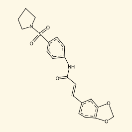 O=C(C=Cc1ccc2c(c1)OCO2)Nc1ccc(S(=O)(=O)N2CCCC2)cc1